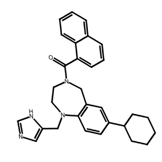 O=C(c1cccc2ccccc12)N1CCN(Cc2cnc[nH]2)c2ccc(C3CCCCC3)cc2C1